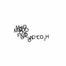 COc1cccc([C@H]2O[C@H](CCC(=O)N3CCC(CC(=O)O)CC3)c3cccn3-c3c(F)cc(Cl)cc32)c1OC